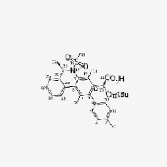 Cc1ccc(-c2c(C)c3c(c(C)c2[C@H](OC(C)(C)C)C(=O)O)N(S(C)(=O)=O)[C@H](C)c2ccccc2-3)cc1